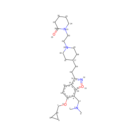 CN(C)Cc1c(OCC2CC2)ccc2c(CCC3CCN(CCN4CCCCC4=O)CC3)noc12